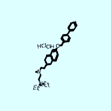 CCN(CC)CCN(C)CCC1CCc2cc(OCc3ccc(-c4ccccc4)cc3)ccc2C1.Cl.Cl